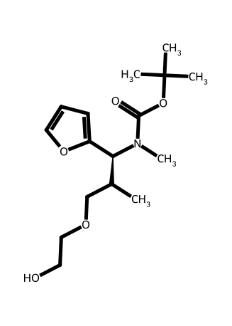 CC(COCCO)[C@@H](c1ccco1)N(C)C(=O)OC(C)(C)C